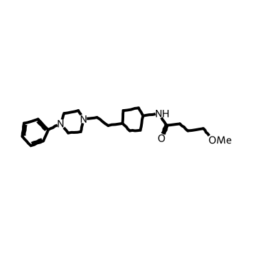 COCCCC(=O)NC1CCC(CCN2CCN(c3ccccc3)CC2)CC1